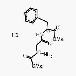 COC(=O)[C@H](Cc1ccccc1)NC(=O)C[C@H](N)C(=O)OC.Cl